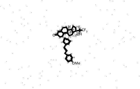 COc1ccc(C/C=C/c2ccc([C@H]3C[C@@]4(C)[C@@H](CC[C@@]4(O)C(F)(F)C(F)(F)F)[C@@H]4CCC5=CC(=O)CCC5=C43)cc2)cc1